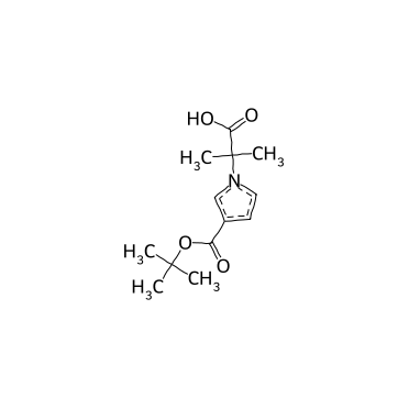 CC(C)(C)OC(=O)c1ccn(C(C)(C)C(=O)O)c1